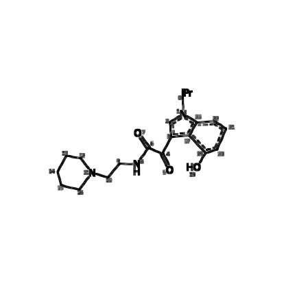 CC(C)n1cc(C(=O)C(=O)NCCN2CCCCC2)c2c(O)cccc21